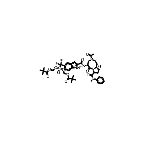 CC(=O)N1CC[C@H]2CCC(C(=O)N(C)c3ccccc3)N2C(=O)[C@@H](NC(=O)c2cc3cc(C(F)(F)P(=O)(OCOC(=O)C(C)(C)C)OCOC(=O)C(C)(C)C)ccc3[nH]2)C1